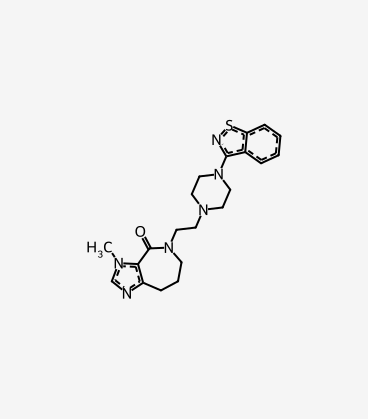 Cn1cnc2c1C(=O)N(CCN1CCN(c3nsc4ccccc34)CC1)CCC2